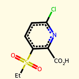 CCS(=O)(=O)c1ccc(Cl)nc1C(=O)O